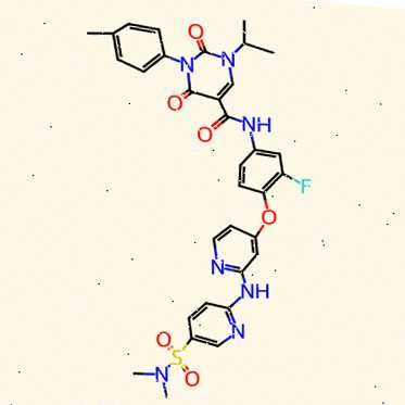 Cc1ccc(-n2c(=O)c(C(=O)Nc3ccc(Oc4ccnc(Nc5ccc(S(=O)(=O)N(C)C)cn5)c4)c(F)c3)cn(C(C)C)c2=O)cc1